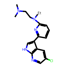 CCN(CCN(C)C)c1cccc(-c2c[nH]c3ncc(Cl)cc23)n1